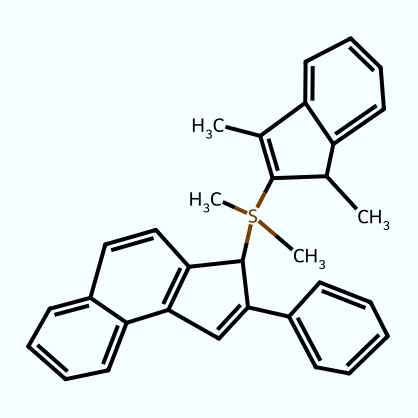 CC1=C(S(C)(C)C2C(c3ccccc3)=Cc3c2ccc2ccccc32)C(C)c2ccccc21